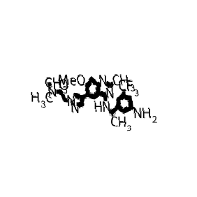 COc1cc2nc(C)nc(N[C@H](C)c3cc(N)cc(C(F)(F)F)c3)c2cc1-c1cnn(CC(=O)N(C)C)c1